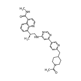 CNC(=O)c1ccnc2c([C@H](C)CNc3cc(-c4ccc(CC5CCN(C(C)=O)CC5)nc4)ncn3)cccc12